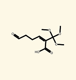 COC(OC)(OC)C(=CCCC=O)C(=O)O